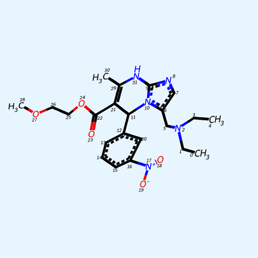 CCN(CC)Cc1cnc2n1C(c1cccc([N+](=O)[O-])c1)C(C(=O)OCCOC)=C(C)N2